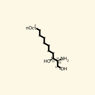 CCCCCCCCCCCCCCC[C@H](O)[C@@H](N)CO